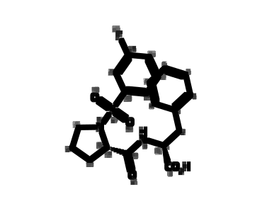 O=C(O)[C@H](Cc1ccccc1)NC(=O)[C@@H]1CCCN1S(=O)(=O)c1cccc(F)c1